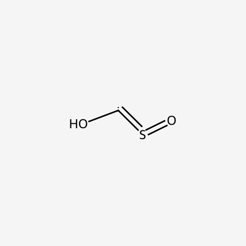 O=S=[C]O